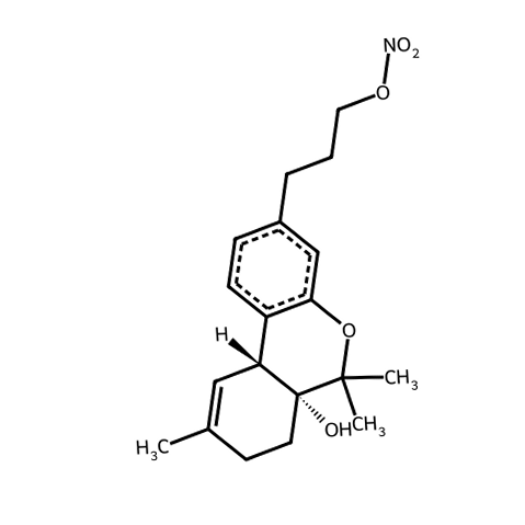 CC1=C[C@@H]2c3ccc(CCCO[N+](=O)[O-])cc3OC(C)(C)[C@@]2(O)CC1